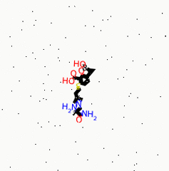 C[C@@](N)(CN1CC(CCSc2ccc3c(c2C(=O)O)OB(O)C2CC32)C1)C(N)=O